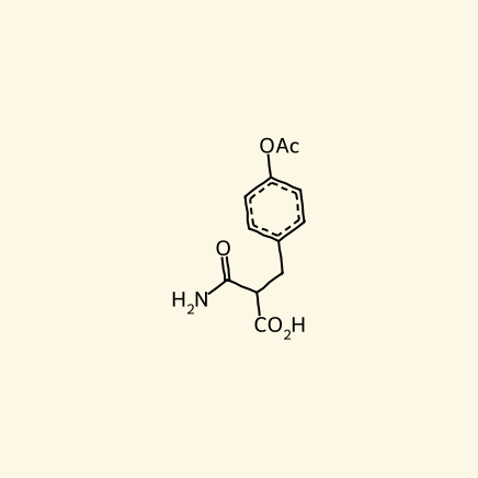 CC(=O)Oc1ccc(CC(C(N)=O)C(=O)O)cc1